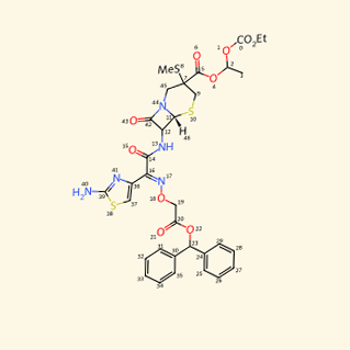 CCOC(=O)OC(C)OC(=O)C1(SC)CS[C@@H]2C(NC(=O)C(=NOCC(=O)OC(c3ccccc3)c3ccccc3)c3csc(N)n3)C(=O)N2C1